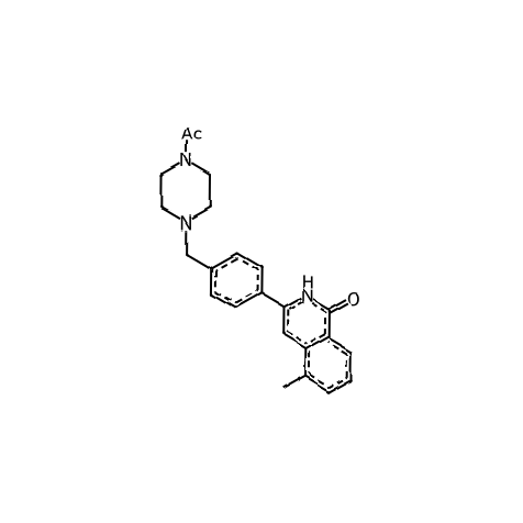 CC(=O)N1CCN(Cc2ccc(-c3cc4c(C)cccc4c(=O)[nH]3)cc2)CC1